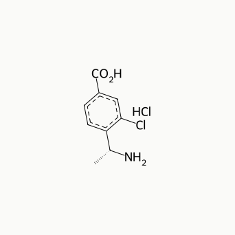 C[C@@H](N)c1ccc(C(=O)O)cc1Cl.Cl